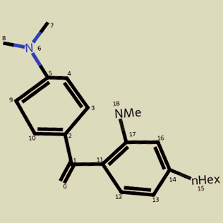 C=C(c1ccc(N(C)C)cc1)c1ccc(CCCCCC)cc1NC